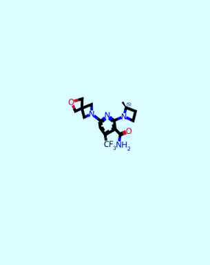 C[C@H]1CCN1c1nc(N2CC3(COC3)C2)cc(C(F)(F)F)c1C(N)=O